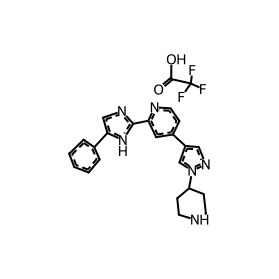 O=C(O)C(F)(F)F.c1ccc(-c2cnc(-c3cc(-c4cnn(C5CCNCC5)c4)ccn3)[nH]2)cc1